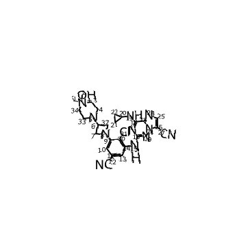 C[N+]1(O)CCN(C2CN(c3cc(C#N)cc(Nc4nc(NC5CC5)c5ncc(C#N)n5n4)c3Cl)C2)CC1